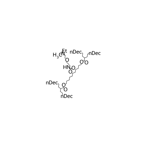 CCCCCCCCCCCCC(CCCCCCCCCCCC)C(=O)OCCCCCC(CCCCCOC(=O)C(CCCCCCCCCCCC)CCCCCCCCCCCC)OC(=O)NCCOCCN(C)CC